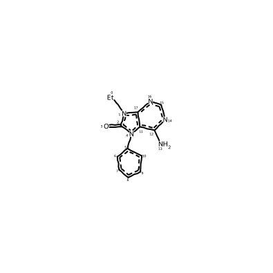 CCn1c(=O)n(-c2ccccc2)c2c(N)ncnc21